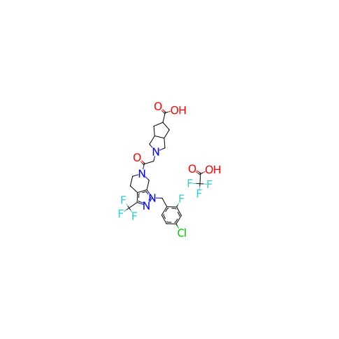 O=C(O)C(F)(F)F.O=C(O)C1CC2CN(CC(=O)N3CCc4c(C(F)(F)F)nn(Cc5ccc(Cl)cc5F)c4C3)CC2C1